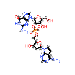 Nc1nc2c(ncn2[C@@H]2O[C@H](CO)[C@H](O)[C@@H]2OP(=O)(O)OC[C@H]2O[C@@H](n3ccc4c(N)ncnc43)C[C@H]2O)c(=O)[nH]1